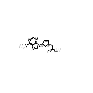 Nc1ncnc2c1ncn2[C@H]1C=C[C@@H](CC(=O)O)C1